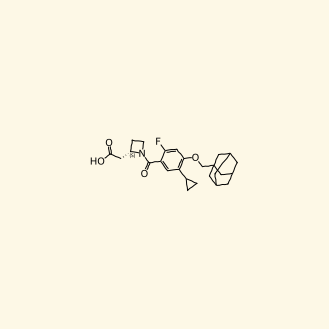 O=C(O)C[C@@H]1CCN1C(=O)c1cc(C2CC2)c(OCC23CC4CC(CC(C4)C2)C3)cc1F